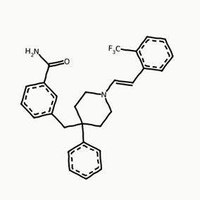 NC(=O)c1cccc(CC2(c3ccccc3)CCN(C=Cc3ccccc3C(F)(F)F)CC2)c1